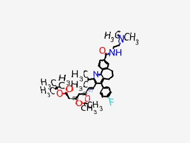 CC(C)c1nc2c(c(-c3ccc(F)cc3)c1/C=C/[C@@H]1C[C@H](CC(=O)OC(C)(C)C)OC(C)(C)O1)CCCc1cc(C(=O)NCCN(C)C)ccc1-2